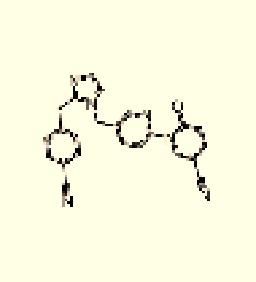 N#Cc1ccc(Cc2nccn2Cc2ccc(-n3cc(C#N)ccc3=O)nc2)cc1